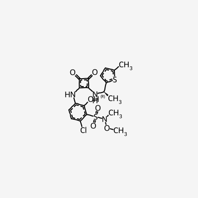 CON(C)S(=O)(=O)c1c(Cl)ccc(Nc2c(N[C@H](C)c3ccc(C)s3)c(=O)c2=O)c1O